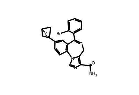 NC(=O)c1ncn2c1CN=C(c1ccccc1Br)c1cc(C34CC(C3)C4)ccc1-2